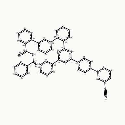 N#Cc1cccc(-c2ccc(-c3cc(-c4ccccc4)nc(-c4ccccc4-c4cccc(-c5ccccc5C(=N)SC(=N)c5ccccc5)c4)n3)cc2)c1